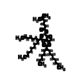 CCCCCCCCC(CCCCCC)C(=O)O[C@@H]1[C@@H](OC(=O)C(CCCCCC)CCCCCCCC)CO[C@@H]1COC(=O)CCCN(C)C